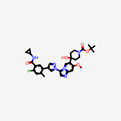 COc1cc2ncc(-n3cc(-c4cc(C(=O)NC5CC5)c(F)cc4C)cn3)n2cc1C1(O)CCN(C(=O)OC(C)(C)C)CC1